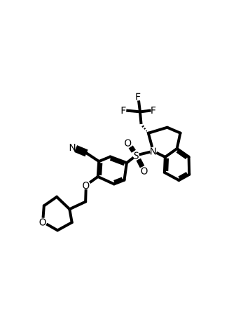 N#Cc1cc(S(=O)(=O)N2c3ccccc3CC[C@H]2CC(F)(F)F)ccc1OCC1CCOCC1